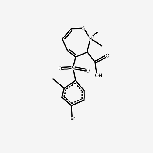 Cc1cc(Br)ccc1S(=O)(=O)C1=CC=CS[N+](C)(C)C1C(=O)O